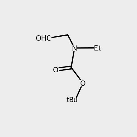 CCN(CC=O)C(=O)OC(C)(C)C